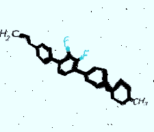 C=CCc1ccc(-c2ccc(-c3ccc(C4CCC(C)CC4)cc3)c(F)c2F)cc1